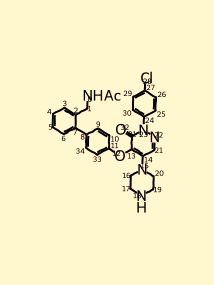 CC(=O)NCc1ccccc1-c1ccc(Oc2c(N3CCNCC3)cnn(-c3ccc(Cl)cc3)c2=O)cc1